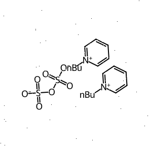 CCCC[n+]1ccccc1.CCCC[n+]1ccccc1.O=S(=O)([O-])OS(=O)(=O)[O-]